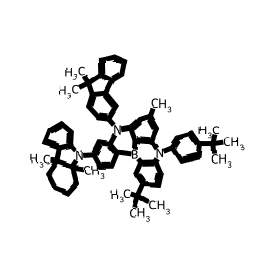 Cc1cc2c3c(c1)N(c1ccc4c(c1)-c1ccccc1C4(C)C)c1cc(N4c5ccccc5C5(C)CCCCC45C)ccc1B3c1cc(C(C)(C)C)ccc1N2c1ccc(C(C)(C)C)cc1